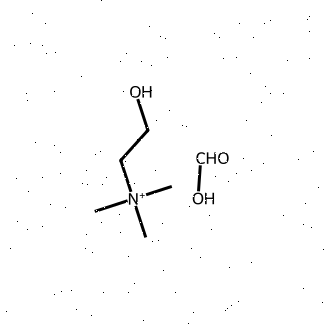 C[N+](C)(C)CCO.O=[C-]O